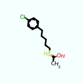 CC(O)=[SH]CCCCCc1ccc(Cl)cc1